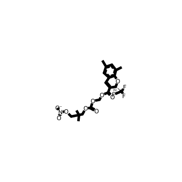 Cc1cc(C)c2c(c1)C=C(C(=O)OCOC(=O)OCC(C)(C)CO[N+](=O)[O-])[C@@H](C(F)(F)F)O2